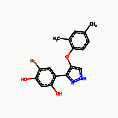 Cc1ccc(Oc2c[nH]nc2-c2cc(Br)c(O)cc2O)c(C)c1